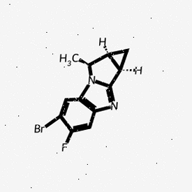 C[C@H]1[C@H]2C[C@H]2c2nc3cc(F)c(Br)cc3n21